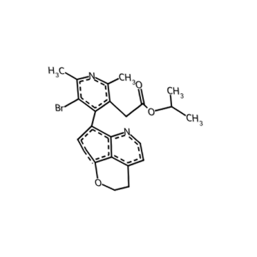 Cc1nc(C)c(CC(=O)OC(C)C)c(-c2ccc3c4c(ccnc24)CCO3)c1Br